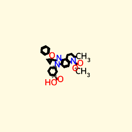 COC(=O)N1c2ccc3c(nc(C4(Oc5ccccc5)CC4)n3[C@@H]3CCC[C@@H](C(=O)O)C3)c2CCC1C